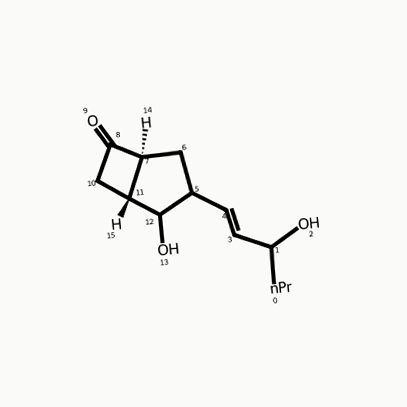 CCCC(O)C=CC1C[C@@H]2C(=O)C[C@H]2C1O